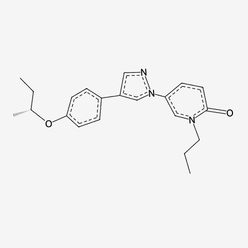 CCCn1cc(-n2cc(-c3ccc(O[C@H](C)CC)cc3)cn2)ccc1=O